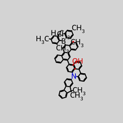 Cc1cc(C)c(B(c2c(C)cc(C)cc2C)c2cc3c4ccccc4c(-c4ccc(N(c5ccc6c(c5)C(C)(C)c5ccccc5-6)c5ccccc5-c5ccccc5)cc4O)cc3c3ccccc23)c(C)c1